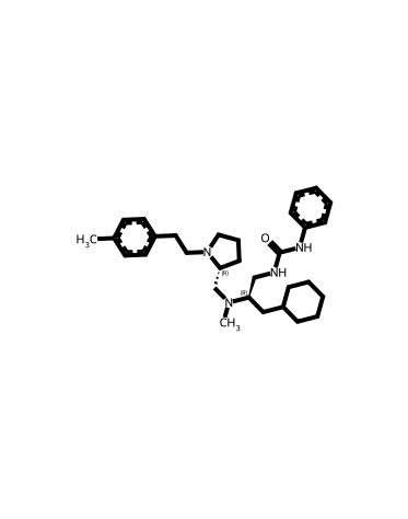 Cc1ccc(CCN2CCC[C@@H]2CN(C)[C@@H](CNC(=O)Nc2ccccc2)CC2CCCCC2)cc1